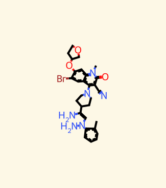 Cc1ccccc1N(N)/C=C(\N)C1CCN(c2c(C#N)c(=O)n(C)c3cc(OC4CCOC4)c(Br)cc23)CC1